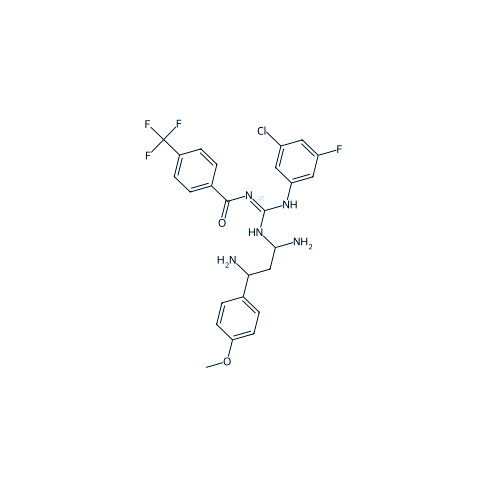 COc1ccc(C(N)CC(N)N/C(=N\C(=O)c2ccc(C(F)(F)F)cc2)Nc2cc(F)cc(Cl)c2)cc1